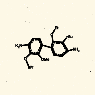 CCCCc1c(N)ccc(-c2ccc(N)c(OCCC)c2OC)c1OCC